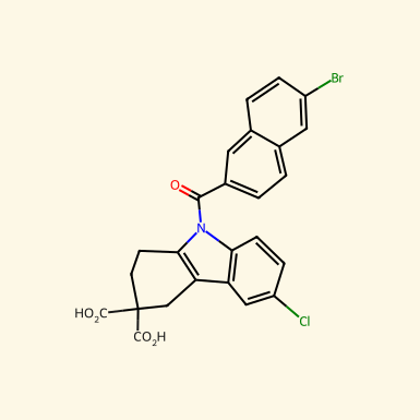 O=C(c1ccc2cc(Br)ccc2c1)n1c2c(c3cc(Cl)ccc31)CC(C(=O)O)(C(=O)O)CC2